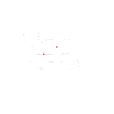 Cl.Cl.[CH2]=[Zr]([C]1=CC(C(C)(C)C)=CC1C)([c]1ccccc1)([c]1ccc(C)cc1)[c]1cccc2c1Cc1ccccc1-2